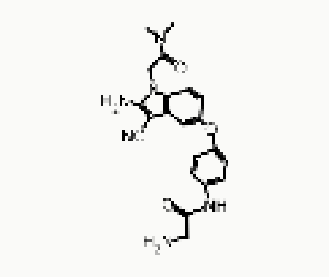 CN(C)C(=O)Cn1c(N)c(C#N)c2cc(Oc3ccc(NC(=O)CN)cc3)ccc21